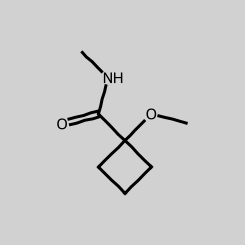 CNC(=O)C1(OC)CCC1